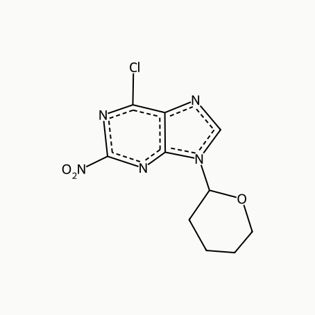 O=[N+]([O-])c1nc(Cl)c2ncn(C3CCCCO3)c2n1